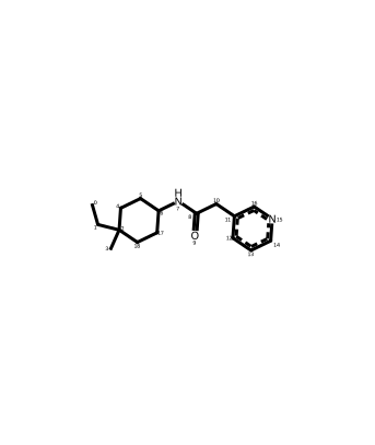 CCC1(C)CCC(NC(=O)Cc2cccnc2)CC1